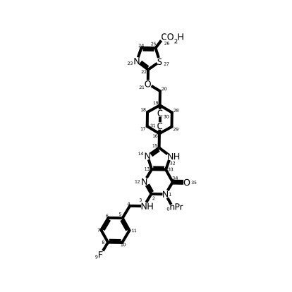 CCCn1c(NCc2ccc(F)cc2)nc2nc(C34CCC(COc5ncc(C(=O)O)s5)(CC3)CC4)[nH]c2c1=O